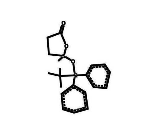 CC(C)(C)[Si](OS1(C)CCC(=O)O1)(c1ccccc1)c1ccccc1